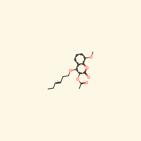 CC/C=C/CCOc1c(OC(C)=O)c(=O)oc2c(OC)cccc12